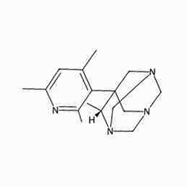 Cc1cc(C)c(C23CN4CN(CN(C4)[C@@H]2C)C3)c(C)n1